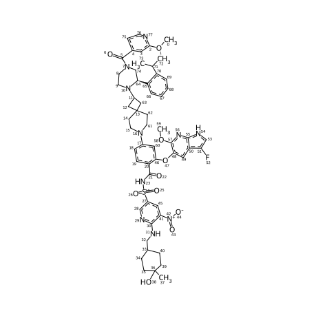 COc1cc(C(=O)N2CCN(C3CC4(CCN(c5ccc(C(=O)NS(=O)(=O)c6cnc(NCC7CCC(C)(O)CC7)c([N+](=O)[O-])c6)c(Oc6cc7c(F)c[nH]c7nc6OC)c5)CC4)C3)[C@H](c3ccccc3C(C)C)C2)ccn1